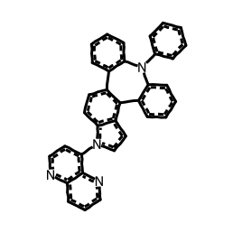 c1ccc(N2c3ccccc3-c3ccc4c(ccn4-c4ccnc5cccnc45)c3-c3ccccc32)cc1